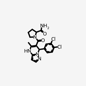 CC1=C(C(=O)N2CCCC2C(N)=O)C(c2ccc(Cl)c(Cl)c2)n2nccc2N1